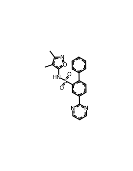 Cc1noc(NS(=O)(=O)c2cc(-c3ncccn3)ccc2-c2ccccc2)c1C